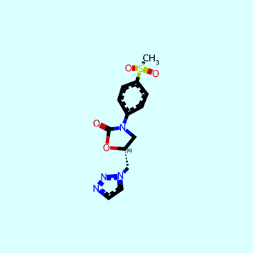 CS(=O)(=O)c1ccc(N2C[C@H](Cn3ccnn3)OC2=O)cc1